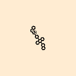 c1ccc2cc(-c3c4ccccc4c(-c4ccc(-c5cc6ccc7ccccc7n6n5)cc4)c4ccccc34)ccc2c1